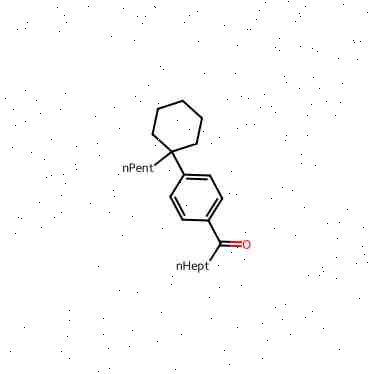 CCCCCCCC(=O)c1ccc(C2(CCCCC)CCCCC2)cc1